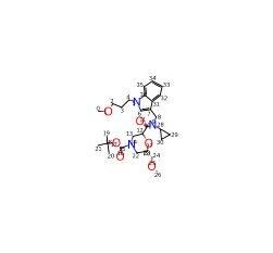 COCCCn1cc(CN(C(=O)C2CN(C(=O)OC(C)(C)C)C[C@@H](COC)O2)C2CC2)c2ccccc21